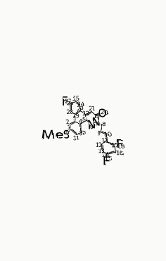 CSc1ccc(-c2nn(CC=Cc3ccc(F)cc3F)c(=O)cc2-c2ccc(F)cc2)cc1